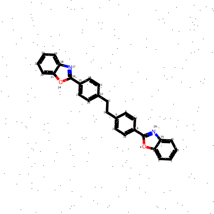 c1ccc2oc(-c3ccc(CCc4ccc(-c5nc6ccccc6o5)cc4)cc3)nc2c1